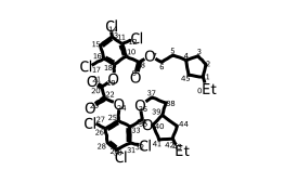 CCC1CCC(CCOC(=O)c2c(Cl)c(Cl)cc(Cl)c2OC(=O)C(=O)Oc2c(Cl)cc(Cl)c(Cl)c2C(=O)OCCC2CCC(CC)C2)C1